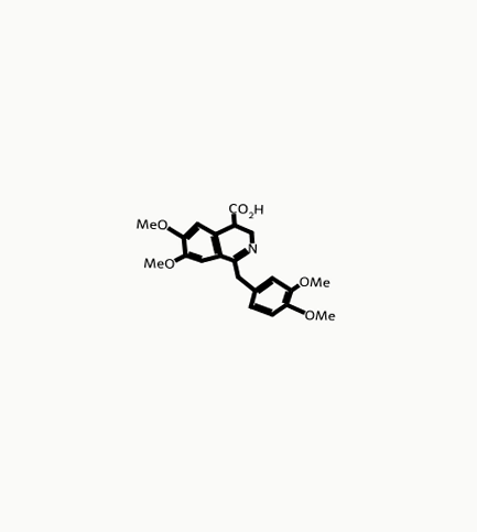 COc1ccc(CC2=NCC(C(=O)O)c3cc(OC)c(OC)cc32)cc1OC